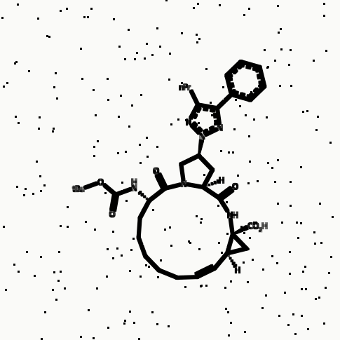 CCCc1nn([C@H]2C[C@H]3C(=O)N[C@]4(C(=O)O)C[C@H]4/C=C\CCCCC[C@H](NC(=O)OC(C)(C)C)C(=O)N3C2)nc1-c1ccccc1